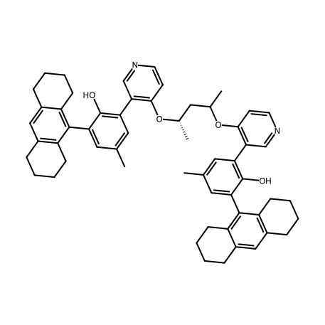 Cc1cc(-c2cnccc2OC(C)C[C@H](C)Oc2ccncc2-c2cc(C)cc(-c3c4c(cc5c3CCCC5)CCCC4)c2O)c(O)c(-c2c3c(cc4c2CCCC4)CCCC3)c1